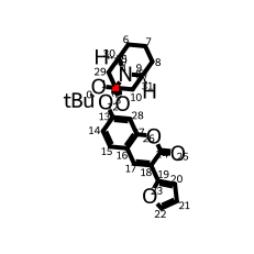 CC(C)(C)OC(=O)N1[C@@H]2CCC[C@H]1C[C@H](Oc1ccc3cc(-c4ccco4)c(=O)oc3c1)C2